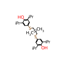 CC(C)c1cc(SC[Si](C)(C)CSc2cc(C(C)C)c(O)c(C(C)C)c2)cc(C(C)C)c1O